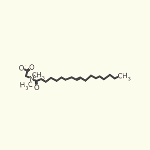 CCCCCCCCC=CCCCCCCCC(=O)[N+](C)(C)CC(=O)[O-]